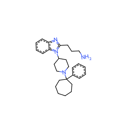 NCCCc1nc2ccccc2n1C1CCN(C2(c3ccccc3)CCCCCC2)CC1